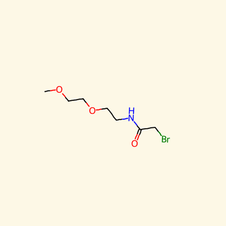 COCCOCCNC(=O)CBr